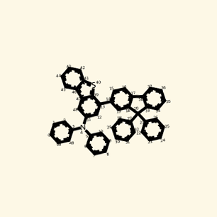 c1ccc(N(c2ccccc2)c2cc(-c3ccc4c(c3)C(c3ccccc3)(c3ccccc3)c3ccccc3-4)c3sc4ccccc4c3c2)cc1